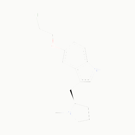 CN1CCC[C@@H]1Cc1c[nH]c2ccc(OCCCl)cc12